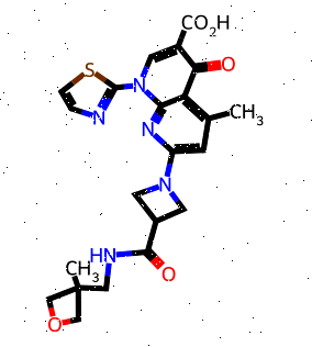 Cc1cc(N2CC(C(=O)NCC3(C)COC3)C2)nc2c1c(=O)c(C(=O)O)cn2-c1nccs1